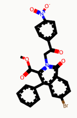 COC(=O)c1c(-c2ccccc2)c2cc(Br)ccc2c(=O)n1CC(=O)c1ccc([N+](=O)[O-])cc1